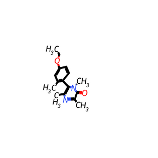 CCOc1ccc(-c2c(C)nc(C)c(=O)n2C)c(C)c1